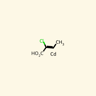 CC=C(Cl)C(=O)O.[Cd]